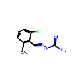 CC(=O)Oc1cccc(Cl)c1/C=N/NC(=N)N